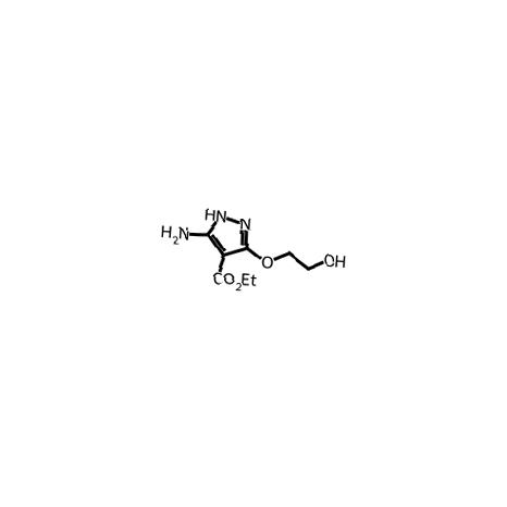 CCOC(=O)c1c(OCCO)n[nH]c1N